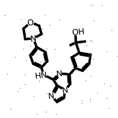 CC(C)(O)c1cccc(-c2cn3ccnc3c(Nc3ccc(N4CCOCC4)cc3)n2)c1